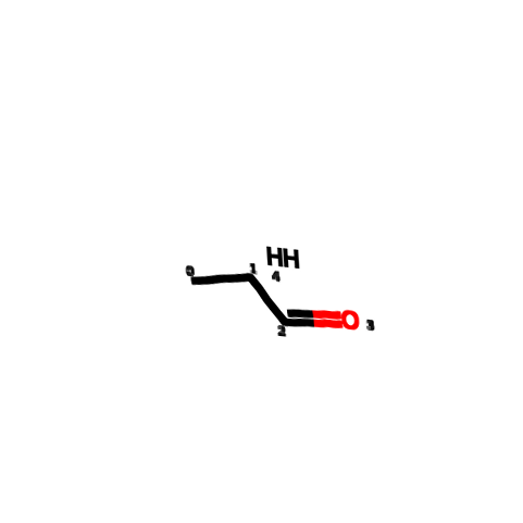 CCC=O.[HH]